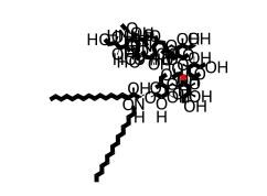 CCCCCCCCCCCCC/C=C/[C@@H](O)[C@H](CO[C@@H]1OC(CO)[C@@H](O[C@@H]2OC(CO)[C@H](O)[C@H](O[C@@H]3OC(CO)[C@@H](O)[C@H](O[C@@H]4OC(CO)[C@H](O)[C@H](O[C@]5(C(=O)O)CC(O)[C@@H](NC(C)=O)C([C@H](O)[C@@H](CO)O[C@]6(C(=O)O)CC(O)[C@@H](NC(C)=O)C([C@H](O)[C@H](O)CO)O6)O5)C4O)C3NC(C)=O)C2O)[C@H](O)C1O)NC(=O)CCCCCCCCCCCCCCC